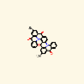 CC(C)(C)c1cc2c(=O)c3ccccc3n3c4ccc5c(=O)c6cc(C(C)(C)C)cc7c(=O)c8ccccc8n(c76)c5c4c(=O)c(c1)c23